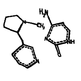 CN1CCCC1c1cccnc1.Nc1cc[nH]c(=O)n1